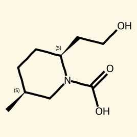 C[C@H]1CC[C@@H](CCO)N(C(=O)O)C1